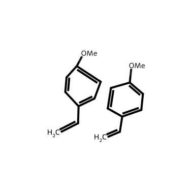 C=Cc1ccc(OC)cc1.C=Cc1ccc(OC)cc1